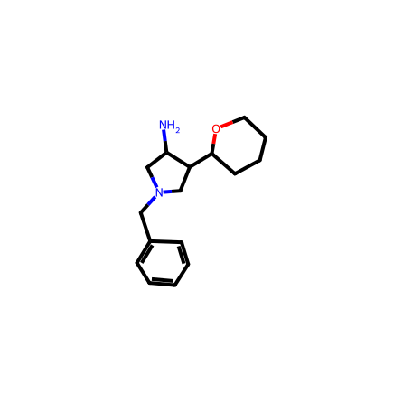 NC1CN(Cc2ccccc2)CC1C1CCCCO1